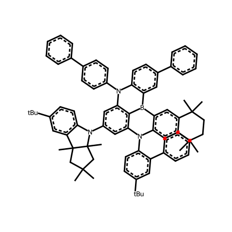 CC1(C)CC2(C)c3cc(C(C)(C)C)ccc3N(c3cc4c5c(c3)N(c3ccc(C(C)(C)C)cc3-c3ccccc3)c3cc6c(cc3B5c3cc(-c5ccccc5)ccc3N4c3ccc(-c4ccccc4)cc3)C(C)(C)CCC6(C)C)C2(C)C1